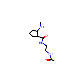 CNC1CCCC1C(=O)NCCNC(C)=O